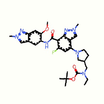 CCN(CC1CCN(c2cc(F)c(C(=O)Nc3cc4cn(C)nc4cc3OC)c3nn(C)cc23)C1)C(=O)OC(C)(C)C